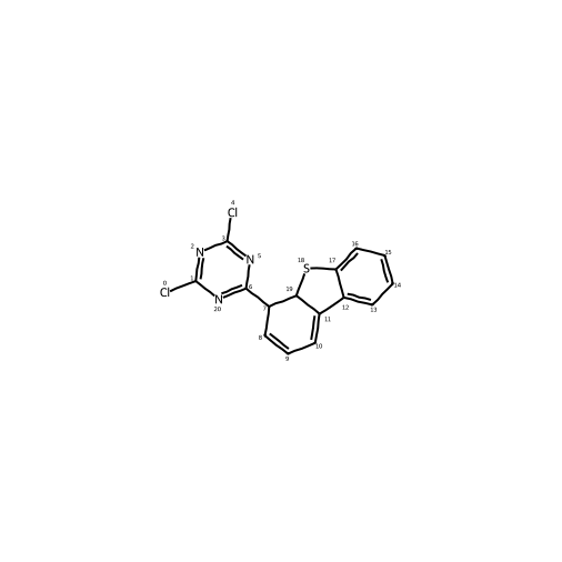 Clc1nc(Cl)nc(C2C=CC=C3c4ccccc4SC32)n1